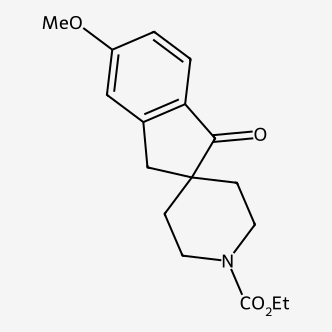 CCOC(=O)N1CCC2(CC1)Cc1cc(OC)ccc1C2=O